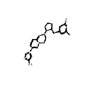 Cc1cn(C2=CN3CCN(C4CCCC4Cc4cc(F)cc(F)c4)C=C3C=C2)cn1